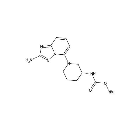 CC(C)(C)OC(=O)N[C@@H]1CCCN(c2cccc3nc(N)nn23)C1